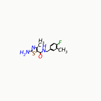 Cc1cc(CNC(=O)c2sc(N)nc2C)ccc1F